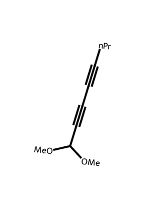 CCCC#CC#CC(OC)OC